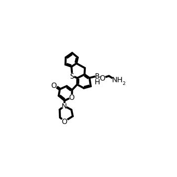 NCOBc1ccc(-c2cc(=O)cc(N3CCOCC3)o2)c2c1Cc1ccccc1S2